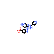 COC(=O)c1cccc(NC2(c3nnc(-c4ccncc4)[nH]3)CCNCC2)c1